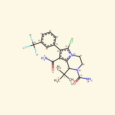 CC(C)(C)C1c2c(C(N)=O)c(-c3cccc(C(F)(F)F)c3)c(Cl)n2CCN1C(N)=O